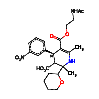 CC(=O)NCCOC(=O)C1=C(C)NC(C)(C2CCCCO2)C(C(=O)O)[C@H]1c1cccc([N+](=O)[O-])c1